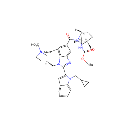 COc1cc(C(=O)N2C[C@H]3CC[C@@H]2[C@@H]3NC(=O)OC(C)(C)C)cc2nc(-c3cc4ccccc4n3CC3CC3)n(C[C@H]3CCN(C(=O)O)C3)c12